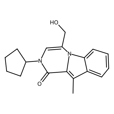 Cc1c2ccccc2n2c(CO)cn(C3CCCC3)c(=O)c12